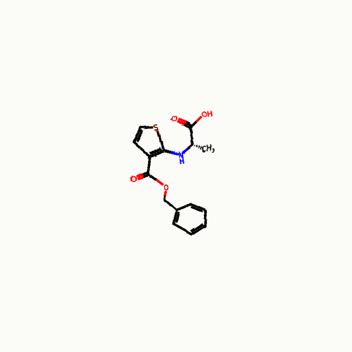 C[C@H](Nc1sccc1C(=O)OCc1ccccc1)C(=O)O